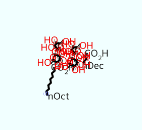 CCCCCCCC/C=C\CCCCCCCC(=O)O.CCCCCCCCCCCCCC(=O)O.OC[C@H]1O[C@@](CO)(O[C@H]2O[C@H](CO)[C@@H](O)[C@H](O)[C@H]2O)[C@@H](O)[C@@H]1O.OC[C@H]1O[C@@](CO)(O[C@H]2O[C@H](CO)[C@@H](O)[C@H](O)[C@H]2O)[C@@H](O)[C@@H]1O